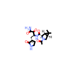 CC(=O)N1C[C@H]2[C@@H]([C@H]1C(=O)N[C@@H](C[C@@H]1CCNC1=O)C(=O)C(N)=O)C2(C)C